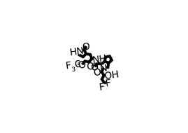 O=C1NCCC1CC(NC(=O)C1C2CCCC2CN1C(=O)[C@H](O)CC(F)F)C(=O)COC(F)(F)F